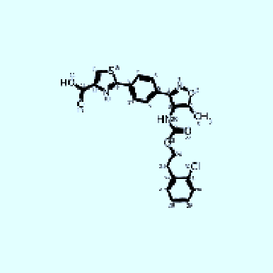 Cc1onc(-c2ccc(-c3nc(C(=O)O)cs3)cc2)c1NC(=O)OCCc1ccccc1Cl